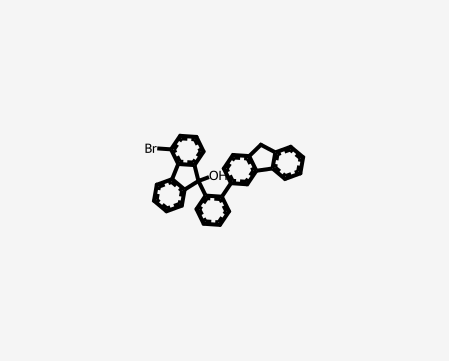 OC1(c2ccccc2-c2ccc3c(c2)-c2ccccc2C3)c2ccccc2-c2c(Br)cccc21